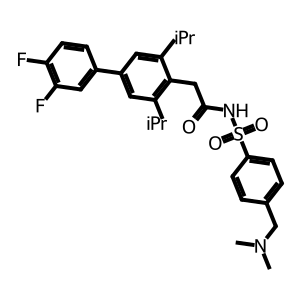 CC(C)c1cc(-c2ccc(F)c(F)c2)cc(C(C)C)c1CC(=O)NS(=O)(=O)c1ccc(CN(C)C)cc1